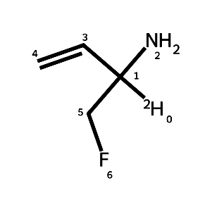 [2H]C(N)(C=C)CF